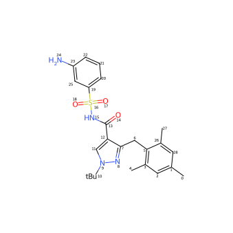 Cc1cc(C)c(Cc2nn(C(C)(C)C)cc2C(=O)NS(=O)(=O)c2cccc(N)c2)c(C)c1